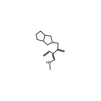 C=C/C(=C\NC)C(=C)CN1CC2CCCC2C1